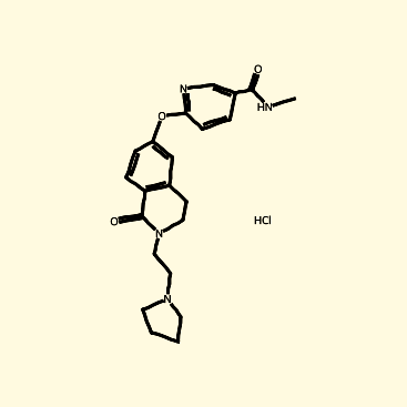 CNC(=O)c1ccc(Oc2ccc3c(c2)CCN(CCN2CCCC2)C3=O)nc1.Cl